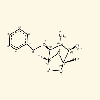 C[C@@H]1[C@@H](C)[C@@H]2OC[C@@H](O2)[C@H]1OCc1ccccc1